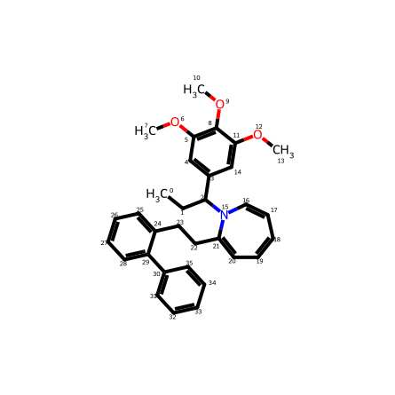 CCC(c1cc(OC)c(OC)c(OC)c1)N1C=CC=CC=C1CCc1ccccc1-c1ccccc1